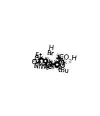 Br.CCOc1cc2c(nc1C(=O)NC)C(=N)N(CC(=O)c1cc3c(c(C(C)(C)C)c1)OCCN3C(C)(C)C(=O)O)C2